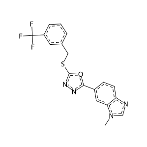 Cn1cnc2ccc(-c3nnc(SCc4cccc(C(F)(F)F)c4)o3)cc21